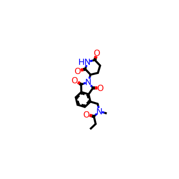 CCC(=O)N(C)Cc1cccc2c1C(=O)N(C1CCC(=O)NC1=O)C2=O